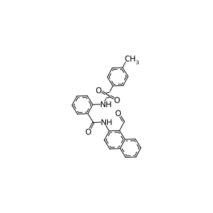 Cc1ccc(S(=O)(=O)Nc2ccccc2C(=O)Nc2ccc3ccccc3c2C=O)cc1